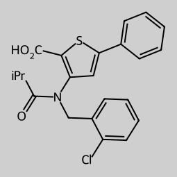 CC(C)C(=O)N(Cc1ccccc1Cl)c1cc(-c2ccccc2)sc1C(=O)O